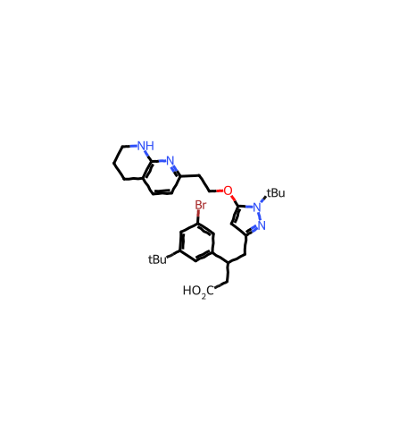 CC(C)(C)c1cc(Br)cc(C(CC(=O)O)Cc2cc(OCCc3ccc4c(n3)NCCC4)n(C(C)(C)C)n2)c1